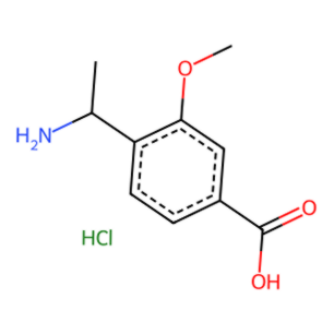 COc1cc(C(=O)O)ccc1C(C)N.Cl